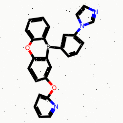 c1ccc(Oc2ccc3c(c2)B(c2cccc(-n4ccnc4)c2)c2ccccc2O3)nc1